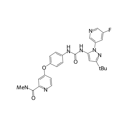 CNC(=O)c1cc(Oc2ccc(NC(=O)Nc3cc(C(C)(C)C)nn3-c3cncc(F)c3)cc2)ccn1